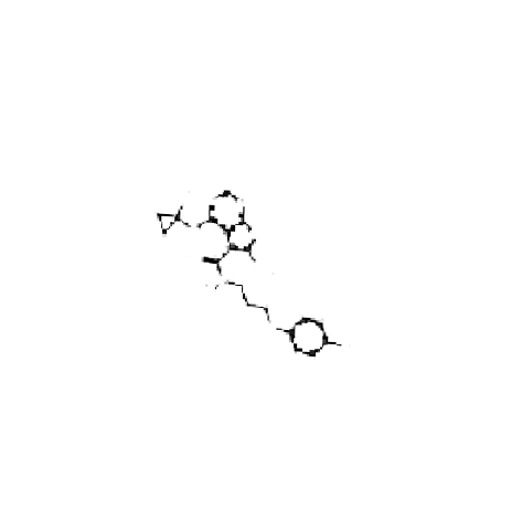 Cc1oc2ncnc(NC3(C)CC3)c2c1C(=O)N(C)CCCOc1ccc(O)cc1